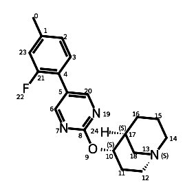 Cc1ccc(-c2cnc(O[C@H]3CC[N@@]4CCC[C@H]3C4)nc2)c(F)c1